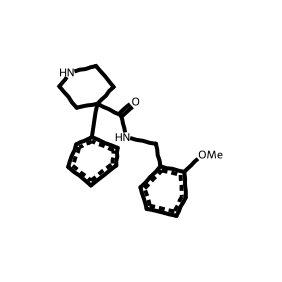 COc1ccccc1CNC(=O)C1(c2ccccc2)CCNCC1